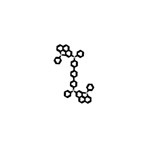 c1ccc(N(c2ccc(-c3ccc(-c4ccc(N(c5ccccc5)c5cc6ccc7cccc8c7c6c(c5)n8-c5ccccc5)cc4)cc3)cc2)c2cc3ccc4cccc5c4c3c(c2)n5-c2ccccc2)cc1